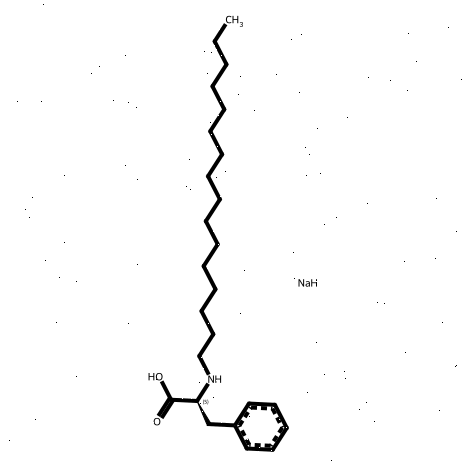 CCCCCCCCCCCCCCCCN[C@@H](Cc1ccccc1)C(=O)O.[NaH]